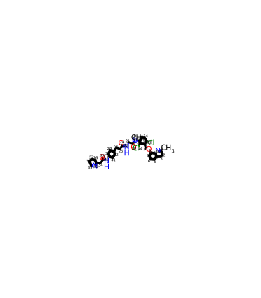 Cc1ccc2cccc(OCc3c(Cl)ccc(N(C)C(=O)CNC(=O)C=Cc4ccc(NC(=O)Cc5ccccn5)cc4)c3Cl)c2n1